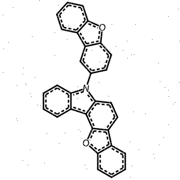 c1ccc2c(c1)oc1ccc(-n3c4ccccc4c4c5oc6ccccc6c5ccc43)cc12